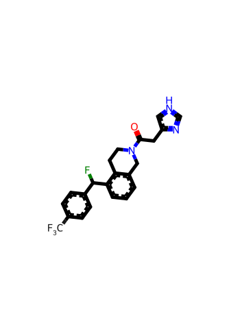 O=C(Cc1c[nH]cn1)N1CCc2c(cccc2C(F)c2ccc(C(F)(F)F)cc2)C1